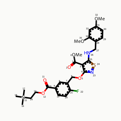 COC(=O)c1c(OCc2cc(C(=O)OCC[Si](C)(C)C)ccc2F)nsc1NCc1ccc(OC)cc1OC